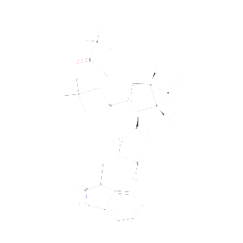 CC(C)(C)[C@H](NC(=O)C(F)(F)F)C(=O)N1C[C@H]2[C@@H]([C@H]1C(=O)N[C@@H](CC1C(=O)Nc3ccccc31)C(N)=O)C2(C)C